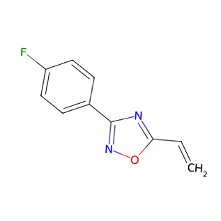 C=Cc1nc(-c2ccc(F)cc2)no1